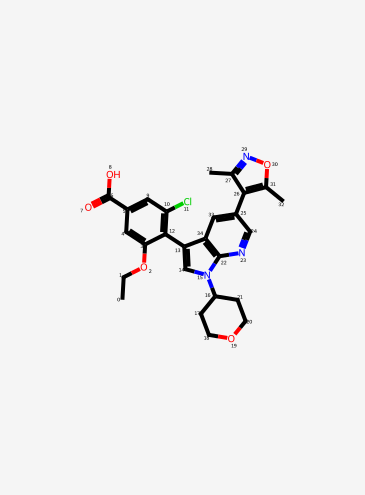 CCOc1cc(C(=O)O)cc(Cl)c1-c1cn(C2CCOCC2)c2ncc(-c3c(C)noc3C)cc12